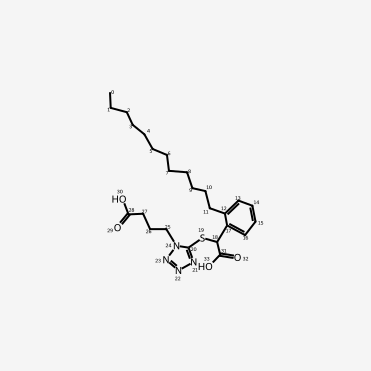 CCCCCCCCCCCCc1ccccc1C(Sc1nnnn1CCCC(=O)O)C(=O)O